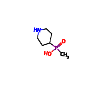 CP(=O)(O)C1CCNCC1